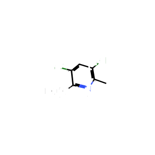 Cc1nc(C(=O)O)c(Cl)cc1Cl